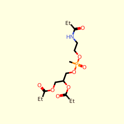 CCC(=O)NCCOP(C)(=O)OCC(COC(=O)CC)OC(=O)CC